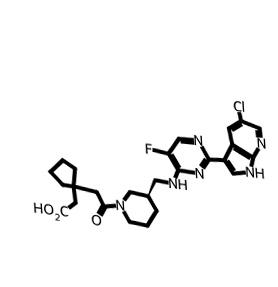 O=C(O)CC1(CC(=O)N2CCC[C@H](CNc3nc(-c4c[nH]c5ncc(Cl)cc45)ncc3F)C2)CCCC1